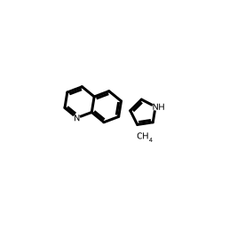 C.c1cc[nH]c1.c1ccc2ncccc2c1